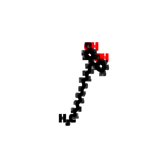 CCCCCCCCCCCCCCCC(c1ccc(O)cc1)c1ccccc1O